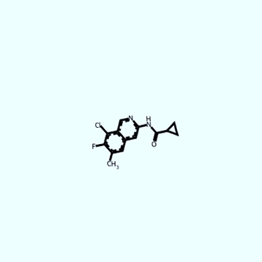 Cc1cc2cc(NC(=O)C3CC3)ncc2c(Cl)c1F